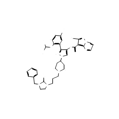 Nc1nn2cccnc2c1C(=O)Nc1cn(C2CCN(CCCN3CCN(Cc4ccccc4)C3O)CC2)nc1-c1cc(Cl)ccc1OC(F)F